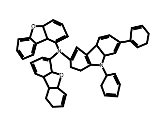 C1=CCC(N2C3=C(C=C(N(C4=CC=CC5C4OC4C=CCCC45)C4=CC=CC5Oc6ccccc6C45)CC3)C3C=CC(C4=CCCC=C4)=CC32)C=C1